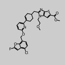 COCCn1c(CC2CC=C(c3cccc(OCc4ccc(Cl)c5cc(F)oc45)n3)CC2)nc2sc(C(=O)OC)cc21